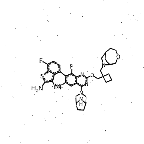 N#Cc1cc2c(N3CC4CCC(C3)N4)nc(OCC3(CN4CC5CCOCC4C5)CCC3)nc2c(F)c1-c1ccc(F)c2sc(N)c(C#N)c12